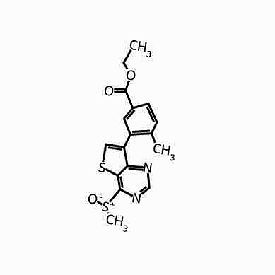 CCOC(=O)c1ccc(C)c(-c2csc3c([S+](C)[O-])ncnc23)c1